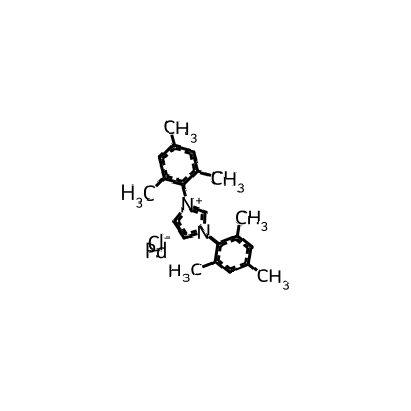 Cc1cc(C)c(-n2cc[n+](-c3c(C)cc(C)cc3C)c2)c(C)c1.[Cl-].[Pd]